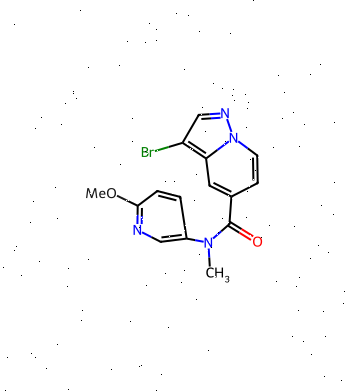 COc1ccc(N(C)C(=O)c2ccn3ncc(Br)c3c2)cn1